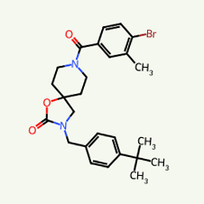 Cc1cc(C(=O)N2CCC3(CC2)CN(Cc2ccc(C(C)(C)C)cc2)C(=O)O3)ccc1Br